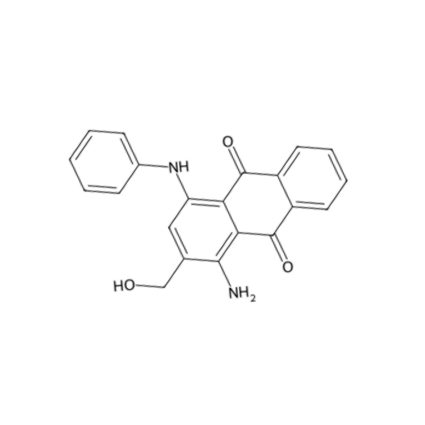 Nc1c(CO)cc(Nc2ccccc2)c2c1C(=O)c1ccccc1C2=O